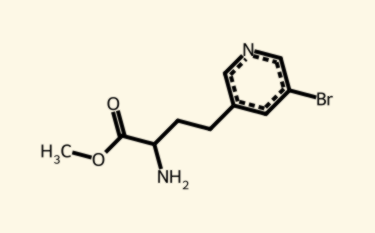 COC(=O)C(N)CCc1cncc(Br)c1